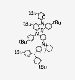 CC(C)(C)c1ccc(C(c2ccc(C(C)(C)C)cc2)c2ccc3c(c2)C2(C)CCCCC2(C)N3c2ccc3c(c2)N(c2ccc(C(C)(C)C)cc2)c2cc(C(C)(C)C)cc4c2B3c2ccc(C(C)(C)C)cc2N4c2cccc(C(C)(C)C)c2)cc1